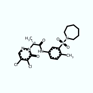 Cc1ccc(NC(=O)[C@@H](C)n2ncc(Cl)c(Cl)c2=O)cc1S(=O)(=O)N1CCCCCC1